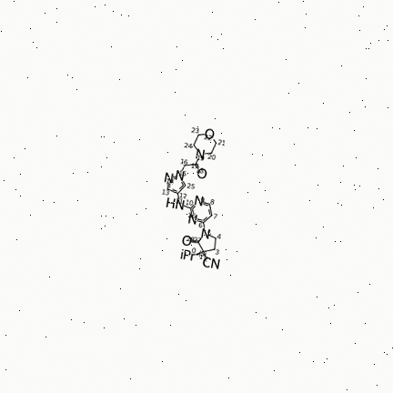 CC(C)[C@]1(C#N)CCN(c2ccnc(Nc3cnn(CC(=O)N4CCOCC4)c3)n2)C1=O